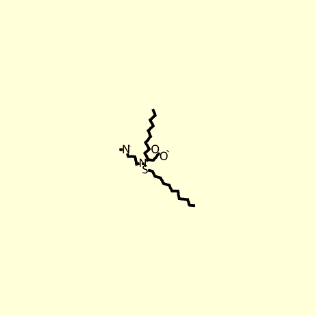 CCCCCCCCCCCSN(CCCN(C)C)C(CCCCCCCCC)CC(=O)OC